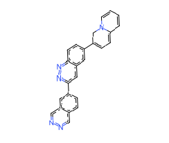 C1=CC2=CC=C(c3ccc4nnc(-c5ccc6cnncc6c5)cc4c3)CN2C=C1